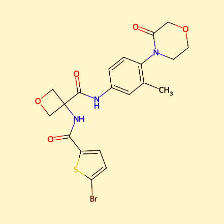 Cc1cc(NC(=O)C2(NC(=O)c3ccc(Br)s3)COC2)ccc1N1CCOCC1=O